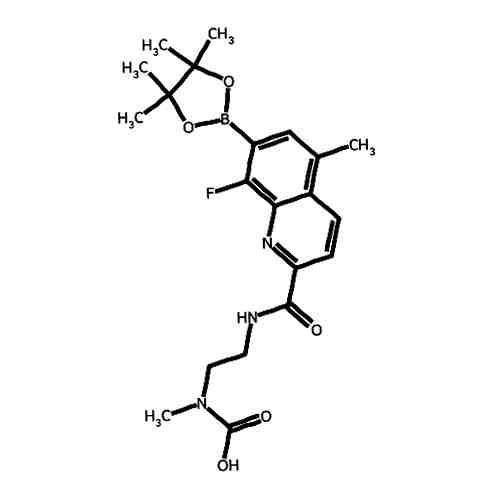 Cc1cc(B2OC(C)(C)C(C)(C)O2)c(F)c2nc(C(=O)NCCN(C)C(=O)O)ccc12